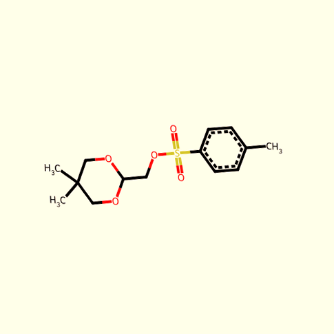 Cc1ccc(S(=O)(=O)OCC2OCC(C)(C)CO2)cc1